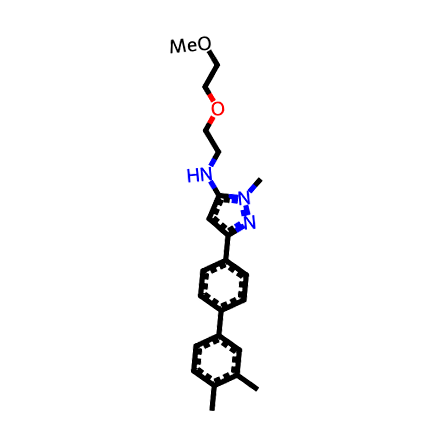 COCCOCCNc1cc(-c2ccc(-c3ccc(C)c(C)c3)cc2)nn1C